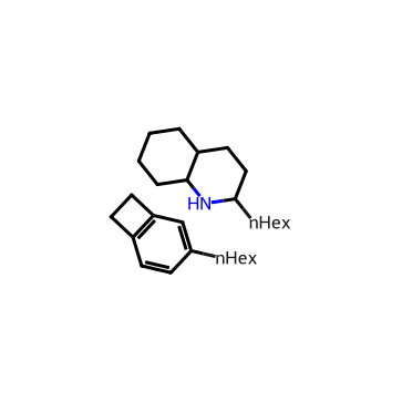 CCCCCCC1CCC2CCCCC2N1.CCCCCCc1ccc2c(c1)CC2